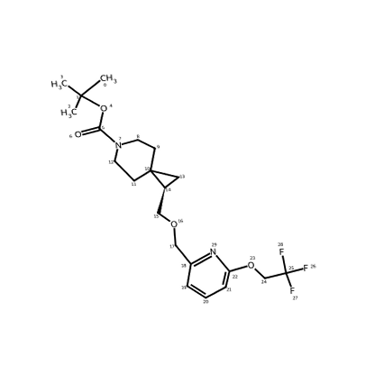 CC(C)(C)OC(=O)N1CCC2(CC1)C[C@H]2COCc1cccc(OCC(F)(F)F)n1